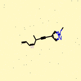 C=C/C=C\C(C)C#Cc1cnn(C)c1